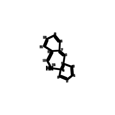 [c]1cccc2c1C=c1ccccc1=CN2